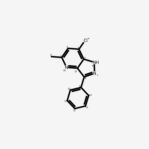 Cc1cc(Cl)c2[nH]nc(-c3ccccc3)c2n1